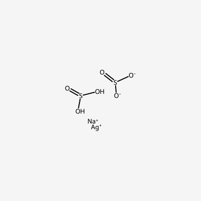 O=S(O)O.O=S([O-])[O-].[Ag+].[Na+]